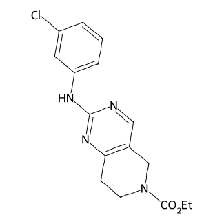 CCOC(=O)N1CCc2nc(Nc3cccc(Cl)c3)ncc2C1